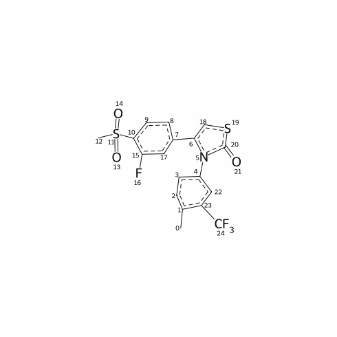 Cc1ccc(-n2c(-c3ccc(S(C)(=O)=O)c(F)c3)csc2=O)cc1C(F)(F)F